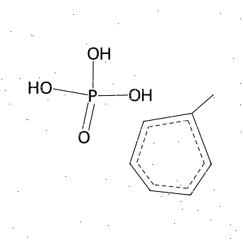 Cc1ccccc1.O=P(O)(O)O